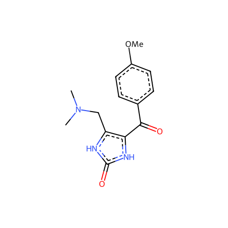 COc1ccc(C(=O)c2[nH]c(=O)[nH]c2CN(C)C)cc1